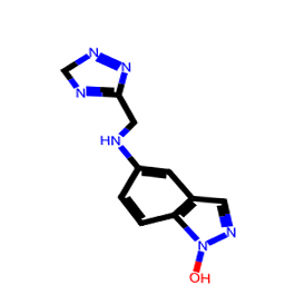 On1ncc2cc(NCC3=NCN=N3)ccc21